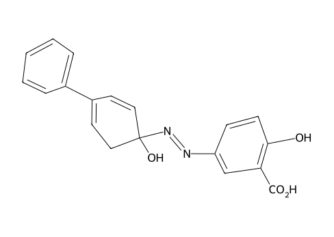 O=C(O)c1cc(N=NC2(O)C=CC(c3ccccc3)=CC2)ccc1O